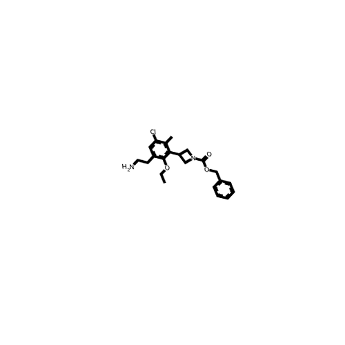 CCOc1c(CCN)cc(Cl)c(C)c1C1CN(C(=O)OCc2ccccc2)C1